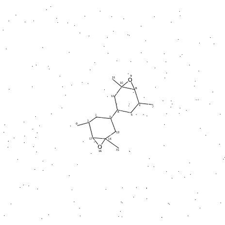 CC1CC(C2CC(C)C3OC3(C)C2)CC2(C)OC12